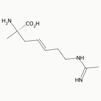 CC(=N)NCC/C=C/C[C@@](C)(N)C(=O)O